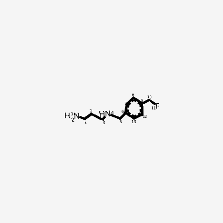 NCCCNCc1ccc(CF)cc1